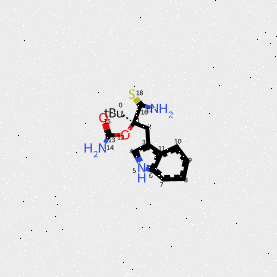 CC(C)(C)[C@](Cc1c[nH]c2ccccc12)(OC(N)=O)C(N)=S